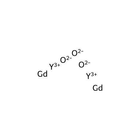 [Gd].[Gd].[O-2].[O-2].[O-2].[Y+3].[Y+3]